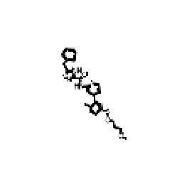 COCCCOSc1ccc(C)c(-c2ccnc(NC(=O)c3nnc(Cc4ccccc4)[nH]3)c2)c1